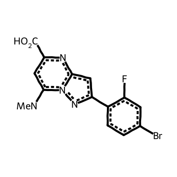 CNc1cc(C(=O)O)nc2cc(-c3ccc(Br)cc3F)nn12